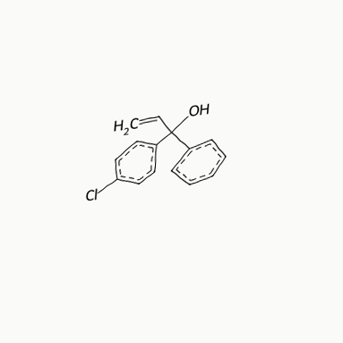 C=CC(O)(c1ccccc1)c1ccc(Cl)cc1